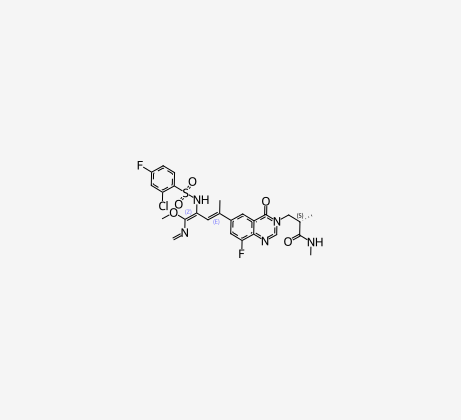 C=N/C(OC)=C(\C=C(/C)c1cc(F)c2ncn(C[C@H](C)C(=O)NC)c(=O)c2c1)NS(=O)(=O)c1ccc(F)cc1Cl